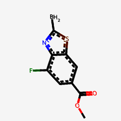 Bc1nc2c(F)cc(C(=O)OC)cc2s1